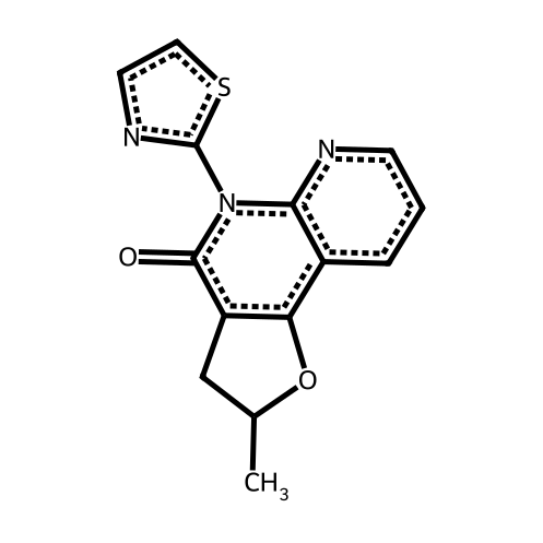 CC1Cc2c(c3cccnc3n(-c3nccs3)c2=O)O1